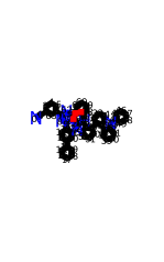 N#Cc1cccc(C2=NC(c3ccc(-c4ccccc4)cc3-n3c4ccccc4c4c(-c5cccc6c5c5ccccc5n6-c5ccccc5)cccc43)NC(c3ccccc3)=N2)c1